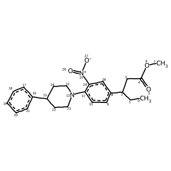 CCC(CC(=O)OC)c1ccc(N2CCC(c3ccccc3)CC2)c([N+](=O)[O-])c1